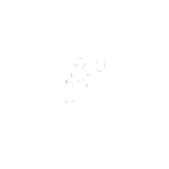 CS(=O)(=O)OC[C@H]1NC(=O)[C@H]1n1c(-c2ccccc2)c(-c2ccccc2)oc1=O